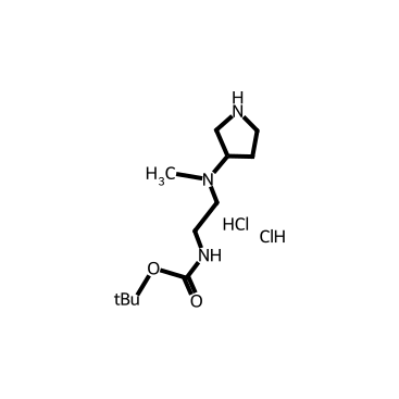 CN(CCNC(=O)OC(C)(C)C)C1CCNC1.Cl.Cl